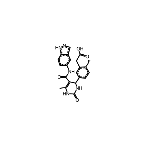 CC1=C(C(=O)Nc2ccc3[nH]ncc3c2)C(c2ccc(F)c(CC(=O)O)c2)NC(=O)N1